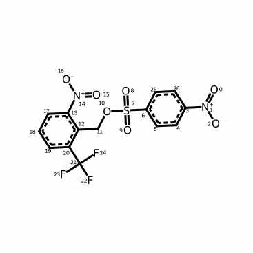 O=[N+]([O-])c1ccc(S(=O)(=O)OCc2c([N+](=O)[O-])cccc2C(F)(F)F)cc1